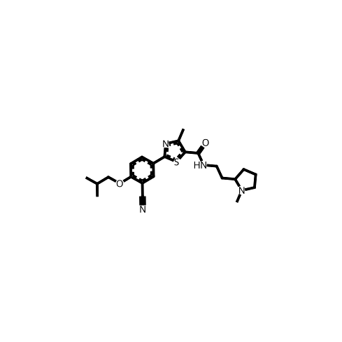 Cc1nc(-c2ccc(OCC(C)C)c(C#N)c2)sc1C(=O)NCCC1CCCN1C